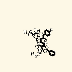 CCOC(=O)c1c(OCc2ccccc2)c2ncc(Cc3ccc(F)cc3)c3c2n(c1=O)C[C@@H](CN(C)C(C)=O)O3